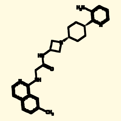 Cc1ccc2ccnc(NCC(=O)NC3CN([C@H]4CC[C@@H](c5ncccc5N)CC4)C3)c2c1